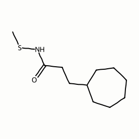 CSNC(=O)CCC1CCCCCC1